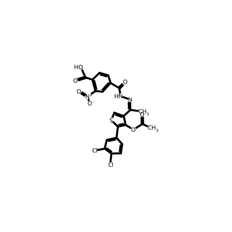 CC(=O)Oc1c(C(C)=NNC(=O)c2ccc(C(=O)O)c([N+](=O)[O-])c2)csc1-c1ccc(Cl)c(Cl)c1